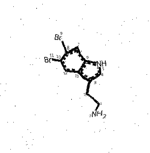 NCCc1c[nH]c2cc(Br)c(Br)cc12